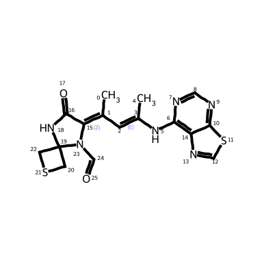 CC(/C=C(\C)Nc1ncnc2scnc12)=C1\C(=O)NC2(CSC2)N1C=O